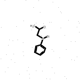 CCN(CC(C)Cl)c1ccccc1